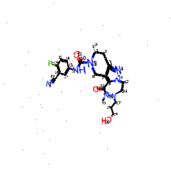 C[C@@H]1Cc2nn3c(c2CN1C(=O)Nc1ccc(F)c(C#N)c1)C(=O)N(C)N(CCCO)CC3